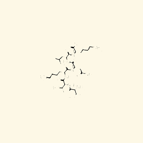 CC(C)C[C@H](NC(=O)[C@H](CC(N)=O)NC(=O)[C@H](CCCCN)NC(=O)[C@@H](NC(=O)[C@@H](N)[C@@H](C)O)[C@@H](C)O)C(=O)N[C@@H](CCCCN)C(N)=O